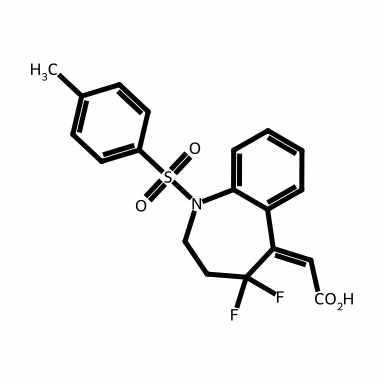 Cc1ccc(S(=O)(=O)N2CCC(F)(F)C(=CC(=O)O)c3ccccc32)cc1